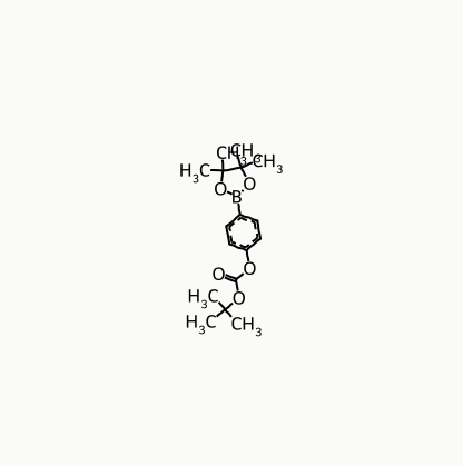 CC(C)(C)OC(=O)Oc1ccc(B2OC(C)(C)C(C)(C)O2)cc1